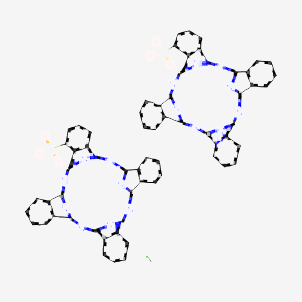 O=S(=O)([O-])c1cccc2c3nc4nc(nc5[nH]c(nc6nc(nc([nH]3)c12)-c1ccccc1-6)c1ccccc51)-c1ccccc1-4.O=S(=O)([O-])c1cccc2c3nc4nc(nc5[nH]c(nc6nc(nc([nH]3)c12)-c1ccccc1-6)c1ccccc51)-c1ccccc1-4.[Cl][Rh+2]